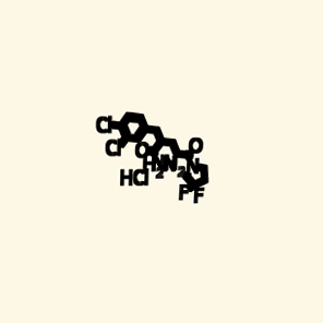 Cl.NC(=O)C(Cc1ccc(Cl)c(Cl)c1)C[C@H](N)C(=O)N1CCC(F)(F)C1